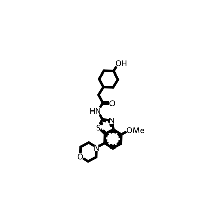 COc1ccc(N2CCOCC2)c2sc(NC(=O)CC3CCC(O)CC3)nc12